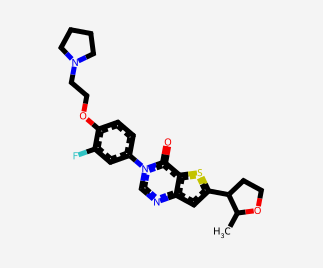 CC1OCCC1c1cc2ncn(-c3ccc(OCCN4CCCC4)c(F)c3)c(=O)c2s1